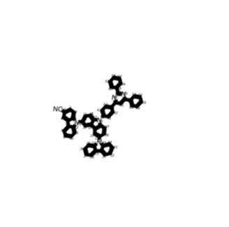 N#Cc1ccc2c(c1)c1ccccc1n2-c1ccc2c(c1)c1cc(-n3c4ccccc4c4ccccc43)ccc1n2-c1ccc(-c2cc(-c3ccccc3)nc(-c3ccccc3)n2)cc1